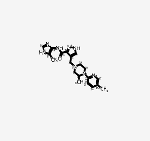 CC1CN(Cc2c[nH]nc2C(=O)Nc2nc[nH]c2C#N)CCN1c1ccc(C(F)(F)F)cn1